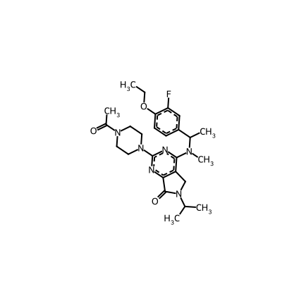 CCOc1ccc(C(C)N(C)c2nc(N3CCN(C(C)=O)CC3)nc3c2CN(C(C)C)C3=O)cc1F